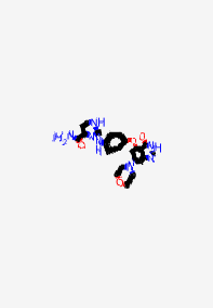 CC1(NC2CCC(Oc3cc(N4CCOCC4)cc4nc[nH]c(=O)c34)CC2)N=C(C(N)=O)C=CN1